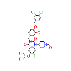 COc1cc(Cn2c(=O)c3cc(OC(CF)CF)c(F)cc3n(C3CCN(C=O)CC3)c2=O)ccc1OCc1ccc(Cl)c(Cl)c1